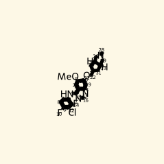 COc1cc2c(Nc3ccc(F)c(Cl)c3F)ncnc2cc1OCC1C[C@@H]2CN(C)C[C@@H]2C1